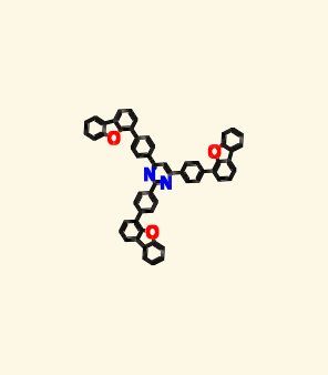 c1ccc2c(c1)oc1c(-c3ccc(-c4cc(-c5ccc(-c6cccc7c6oc6ccccc67)cc5)nc(-c5ccc(-c6cccc7c6oc6ccccc67)cc5)n4)cc3)cccc12